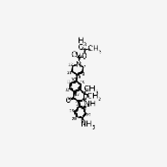 CC(C)OC(=O)N1CC=C(c2ccc3c(c2)C(C)(C)c2[nH]c4cc(N)ccc4c2C3=O)CC1